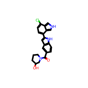 O=C(c1ccc2[nH]c(-c3ccc(Cl)c4c[nH]cc34)cc2c1)N1CCCC(O)C1